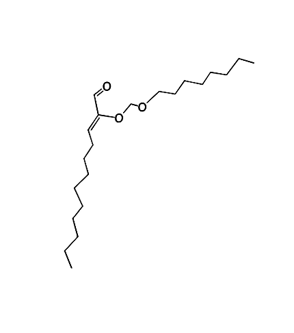 CCCCCCCCCC=C(C=O)OCOCCCCCCCC